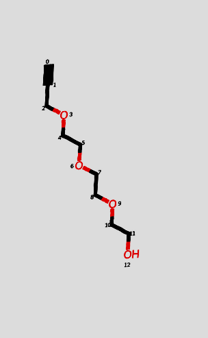 C#CCOCCOCCOCCO